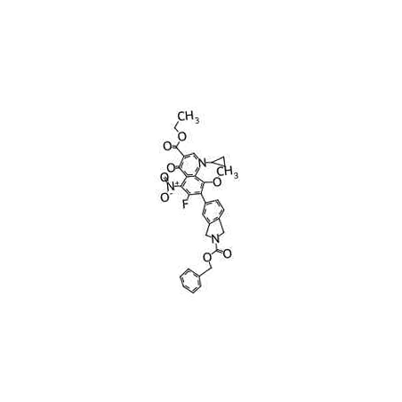 CCOC(=O)c1cn(C2CC2)c2c(OC)c(-c3ccc4c(c3)CN(C(=O)OCc3ccccc3)C4)c(F)c([N+](=O)[O-])c2c1=O